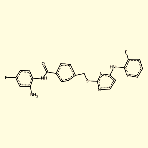 Nc1cc(F)ccc1NC(=O)c1ccc(CSc2nccc(Nc3ncccc3F)n2)cc1